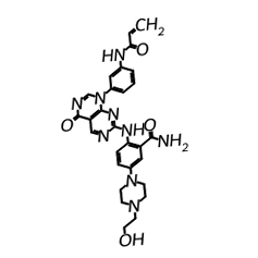 C=CC(=O)Nc1cccc(-n2cnc(=O)c3cnc(Nc4ccc(N5CCN(CCO)CC5)cc4C(N)=O)nc32)c1